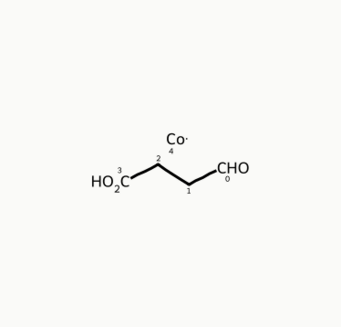 O=CCCC(=O)O.[Co]